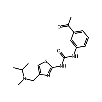 CC(=O)c1cccc(NC(=O)Nc2nc(CN(C)C(C)C)cs2)c1